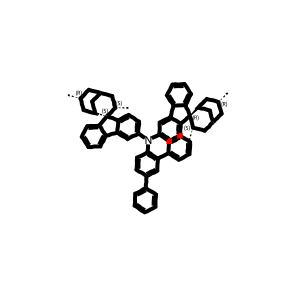 C[C@@H]1CC2CC(C1)[C@@]1(c3ccccc3-c3cc(N(c4ccc5c(c4)-c4ccccc4[C@]54C5CC(C[C@@H](C)C5)C[C@@H]4C)c4ccc(-c5ccccc5)cc4-c4ccccc4)ccc31)[C@@H](C)C2